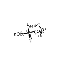 CC(C)[O][Ti].CCCCCCCCP(=O)(O)CCCCCCCC